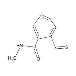 CNC(=O)c1ccccc1[C]=S